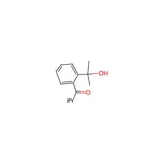 CC(C)C(=O)c1ccccc1C(C)(C)O